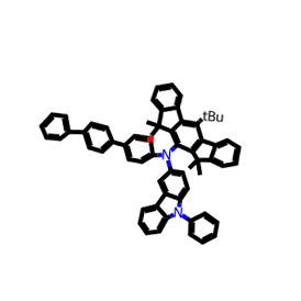 CC(C)(C)c1c2c(c(N(c3ccc(-c4ccc(-c5ccccc5)cc4)cc3)c3ccc4c(c3)c3ccccc3n4-c3ccccc3)c3c1-c1ccccc1C3(C)C)C(C)(C)c1ccccc1-2